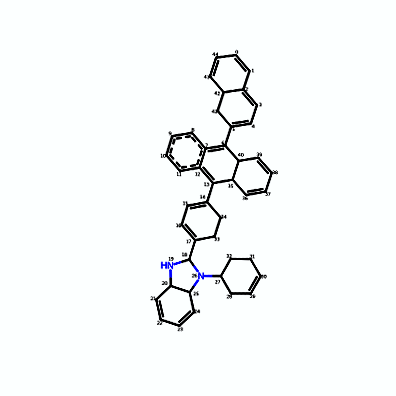 C1=CC2=CC=C(C3=c4ccccc4=C(C4=CC=C(C5NC6C=CC=CC6N5C5CC=CCC5)CC4)C4C=CC=CC34)CC2C=C1